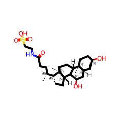 C[C@H](CCC(=O)NCCS(=O)(=O)O)[C@H]1CC[C@H]2C3[C@H](O)C[C@@H]4C[C@H](O)CC[C@]4(C)[C@H]3CC[C@]12C